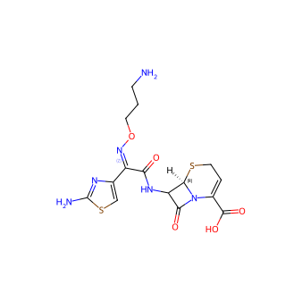 NCCCO/N=C(\C(=O)NC1C(=O)N2C(C(=O)O)=CCS[C@H]12)c1csc(N)n1